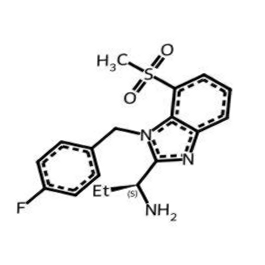 CC[C@H](N)c1nc2cccc(S(C)(=O)=O)c2n1Cc1ccc(F)cc1